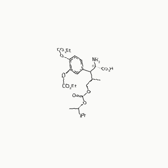 CCOC(=O)Oc1ccc(C(C(C)COC(=O)OC(C)C(C)C)[C@H](N)C(=O)O)cc1OC(=O)OCC